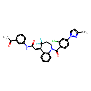 CC(=O)c1cccc(NC(=O)/C=C2/c3ccccc3N(C(=O)c3ccc(-n4ccc(C)n4)cc3Cl)CCC2(F)F)c1